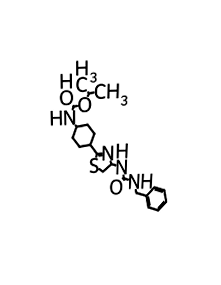 CC(C)OC(O)NC1CCC(C2=NC(NC(=O)NCc3ccccc3)CS2)CC1